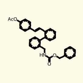 CC(=O)Oc1ccc(C=Cc2ccccc2-c2ccccc2CNC(=O)OCc2ccccc2)cc1